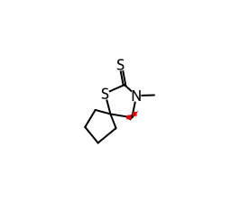 CN1C(=S)SC2(CCCC2)C12CCCC2